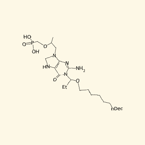 CCCCCCCCCCCCCCCCOC(CC)n1c(N)nc2c(c1=O)NCN2CC(C)OCP(=O)(O)O